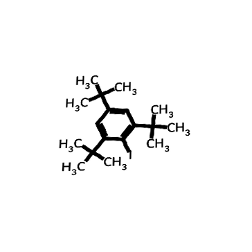 CC(C)(C)c1cc(C(C)(C)C)c(I)c(C(C)(C)C)c1